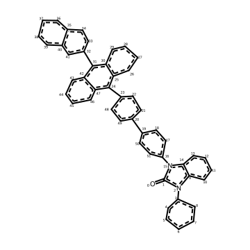 O=c1n(-c2ccccc2)c2ccccc2n1-c1ccc(-c2ccc(-c3c4ccccc4c(-c4ccc5ccccc5c4)c4ccccc34)cc2)cc1